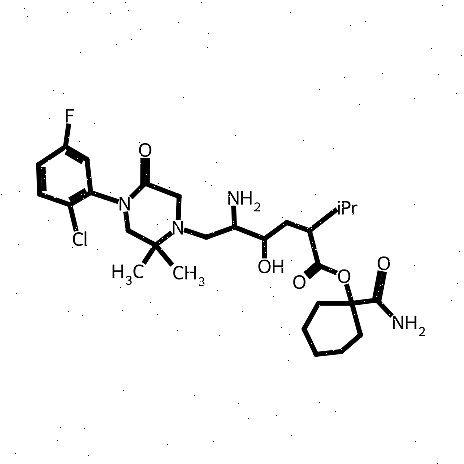 CC(C)C(CC(O)C(N)CN1CC(=O)N(c2cc(F)ccc2Cl)CC1(C)C)C(=O)OC1(C(N)=O)CCCCC1